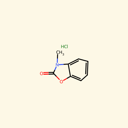 Cl.Cn1c(=O)oc2ccccc21